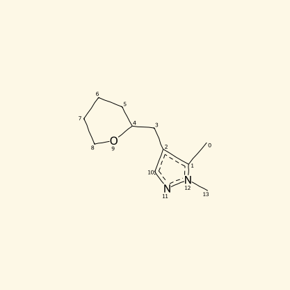 Cc1c(CC2CCCCO2)[c]nn1C